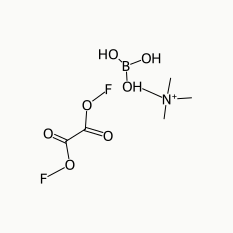 C[N+](C)(C)C.O=C(OF)C(=O)OF.OB(O)O